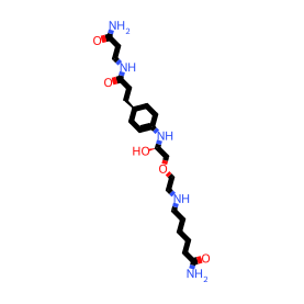 NC(=O)CCCCCNCCOC[C@H](O)NC1=CC[C@@H](CCC(=O)NCCC(N)=O)CC1